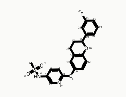 CS(=O)(=O)Nc1ccc(Oc2ccc3c(c2)CCC(c2cccc(F)c2)O3)nc1